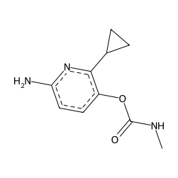 CNC(=O)Oc1ccc(N)nc1C1CC1